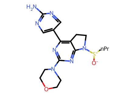 CCC[S+]([O-])N1CCc2c(-c3cnc(N)nc3)nc(N3CCOCC3)nc21